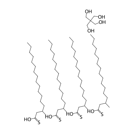 CCCCCCCCCCCCCCC(C)CC(O)=S.CCCCCCCCCCCCCCC(C)CC(O)=S.CCCCCCCCCCCCCCC(C)CC(O)=S.CCCCCCCCCCCCCCC(C)CC(O)=S.OCC(CO)(CO)CO